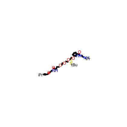 CC(C)C#CCOCCNC(=O)CCCOCCOCCOC(COc1cccc(C(=O)NCCNC(C)C)c1)SSC(C)(C)C